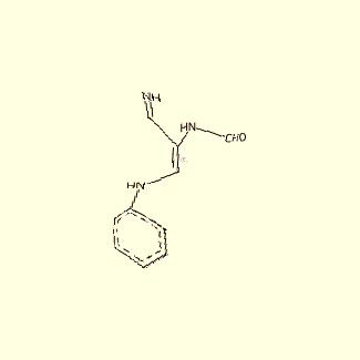 N=C/C(=C\Nc1ccccc1)NC=O